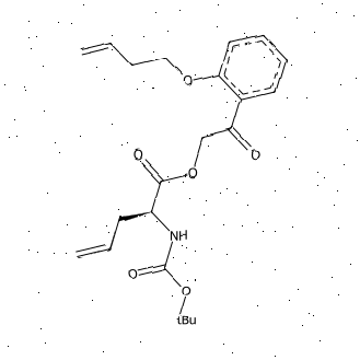 C=CCCOc1ccccc1C(=O)COC(=O)[C@H](CC=C)NC(=O)OC(C)(C)C